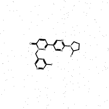 O=c1ccc(-c2cnc(N3CCCC3F)nc2)nn1Cc1cncc(F)c1